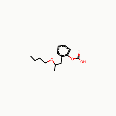 CCCCOC(C)Cc1ccccc1OC(=O)O